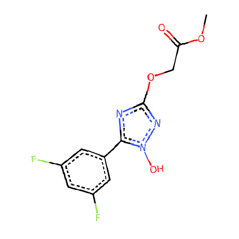 COC(=O)COc1nc(-c2cc(F)cc(F)c2)n(O)n1